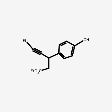 CCC#CC(CC(=O)OCC)c1ccc(O)cc1